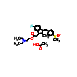 CC(=O)O.CCN(CC)CCOC(=O)CC1=C(C)C(=Cc2ccc([S+](C)[O-])cc2)c2ccc(F)cc21